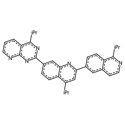 CC(C)c1nccc2cc(-c3cc(C(C)C)c4ccc(-c5nc(C(C)C)c6cccnc6n5)cc4n3)ccc12